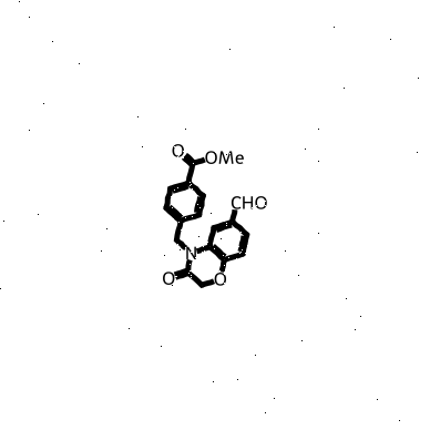 COC(=O)c1ccc(CN2C(=O)COc3ccc(C=O)cc32)cc1